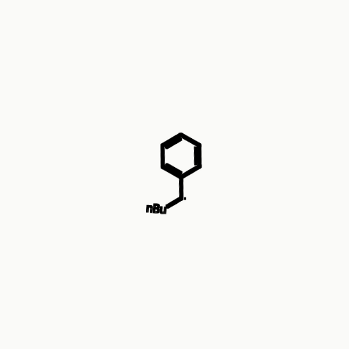 CC[CH]C[CH]c1ccccc1